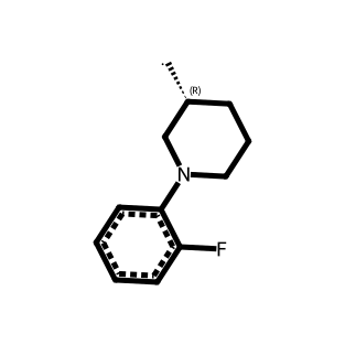 [CH2][C@@H]1CCCN(c2ccccc2F)C1